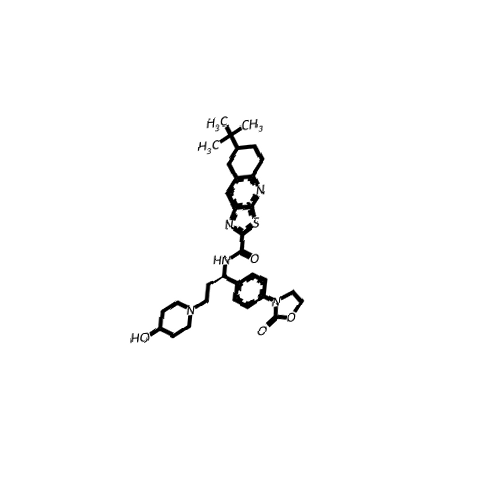 CC(C)(C)C1CCc2nc3sc(C(=O)N[C@H](CCN4CCC(O)CC4)c4ccc(N5CCOC5=O)cc4)nc3cc2C1